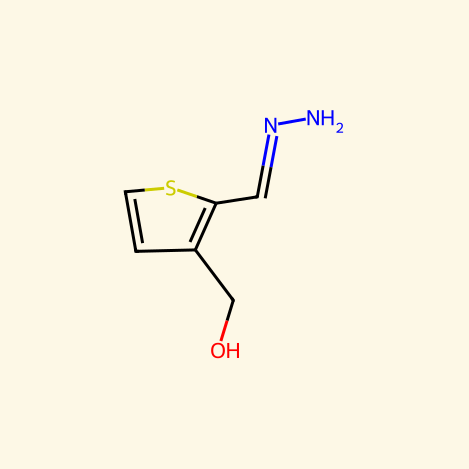 N/N=C/c1sccc1CO